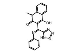 Cn1c(=O)c(/C(=N/c2ccccc2)c2nnn[nH]2)c(O)c2ccccc21